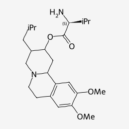 COc1cc2c(cc1OC)C1CC(OC(=O)[C@@H](N)C(C)C)C(CC(C)C)CN1CC2